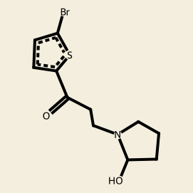 O=C(CCN1CCCC1O)c1ccc(Br)s1